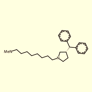 CNCCCCCCCCN1CC[C@@H](C(c2ccccc2)c2ccccc2)C1